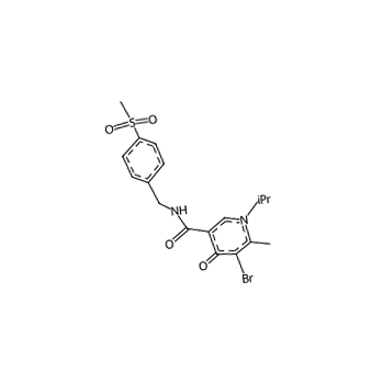 Cc1c(Br)c(=O)c(C(=O)NCc2ccc(S(C)(=O)=O)cc2)cn1C(C)C